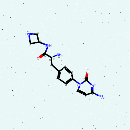 Nc1ccn(-c2ccc(C[C@H](N)C(=O)NC3CNC3)cc2)c(=O)n1